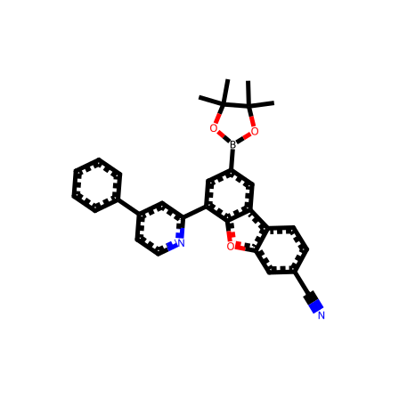 CC1(C)OB(c2cc(-c3cc(-c4ccccc4)ccn3)c3oc4cc(C#N)ccc4c3c2)OC1(C)C